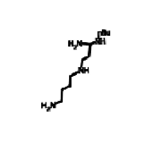 CCCCNC(N)CCNCCCCN